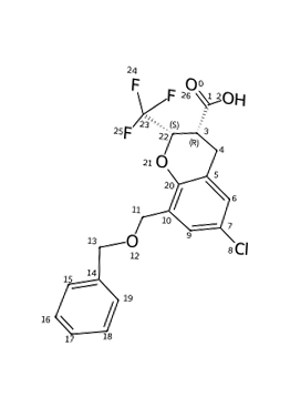 O=C(O)[C@@H]1Cc2cc(Cl)cc(COCc3ccccc3)c2O[C@@H]1C(F)(F)F